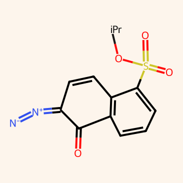 CC(C)OS(=O)(=O)c1cccc2c1C=CC(=[N+]=[N-])C2=O